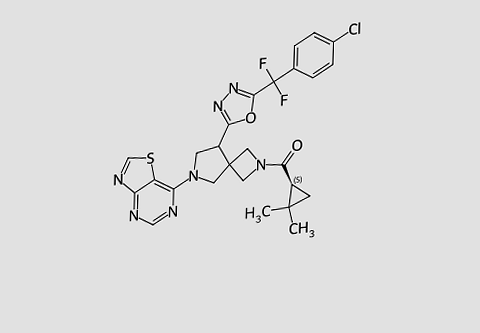 CC1(C)C[C@@H]1C(=O)N1CC2(C1)CN(c1ncnc3ncsc13)CC2c1nnc(C(F)(F)c2ccc(Cl)cc2)o1